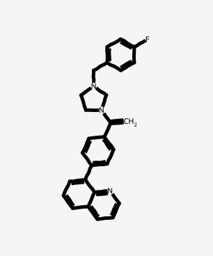 C=C(c1ccc(-c2cccc3cccnc23)cc1)N1CCN(Cc2ccc(F)cc2)C1